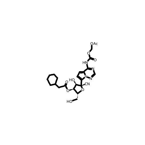 CC(=O)OCOC(=O)Nc1ncnn2c([C@]3(C#N)O[C@H](CO)[C@@H](OC(=O)CC4CCCCC4)[C@H]3O)ccc12